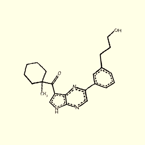 CC1(C(=O)c2c[nH]c3ncc(-c4cccc(CCCO)c4)nc23)CCCCC1